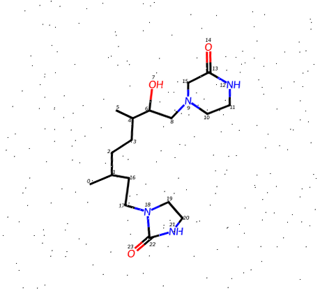 CC(CCC(C)C(O)CN1CCNC(=O)C1)CCN1CCNC1=O